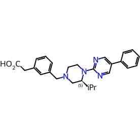 CC(C)[C@H]1CN(Cc2cccc(CC(=O)O)c2)CCN1c1ncc(-c2ccccc2)cn1